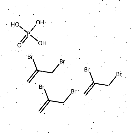 C=C(Br)CBr.C=C(Br)CBr.C=C(Br)CBr.O=P(O)(O)O